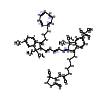 Cc1ccc2c(c1)C(C)(C)C(/C=C/C=C/C=C1/N(CCCCCC(=O)ON3C(=O)CCC3=O)c3ccc(S(=O)(=O)O)cc3C1(C)C)=[N+]2CCCC1=C/C=C\C=C/C=C\1